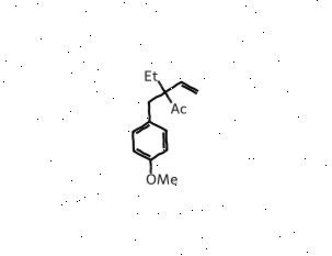 C=CC(CC)(Cc1ccc(OC)cc1)C(C)=O